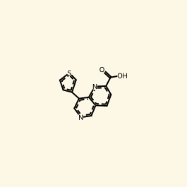 O=C(O)c1ccc2cncc(-c3ccsc3)c2n1